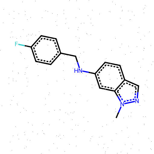 Cn1ncc2ccc(NCc3ccc(F)cc3)cc21